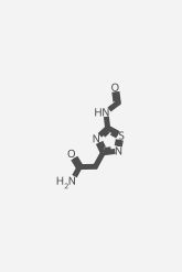 NC(=O)Cc1nsc(NC=O)n1